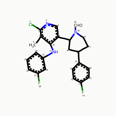 Cc1c(Cl)ncc(C2CC(c3ccc(F)cc3)CCN2C=O)c1Nc1cccc(F)c1